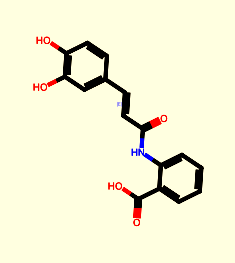 O=C(/C=C/c1ccc(O)c(O)c1)Nc1ccccc1C(=O)O